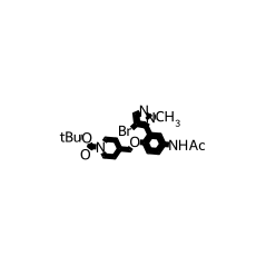 CC(=O)Nc1ccc(OCC2CCN(C(=O)OC(C)(C)C)CC2)c(-c2c(Br)cnn2C)c1